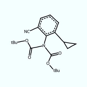 CC(C)(C)OC(=O)N(C(=O)OC(C)(C)C)c1c(C#N)cccc1C1CC1